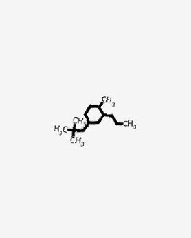 CCCC1CC(CC(C)(C)C)CCC1C